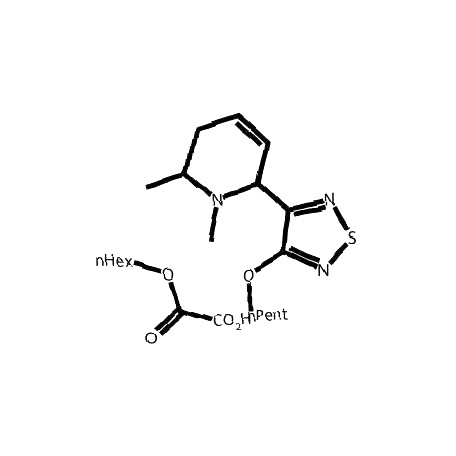 CCCCCCOC(=O)C(=O)O.CCCCCOc1nsnc1C1C=CCC(C)N1C